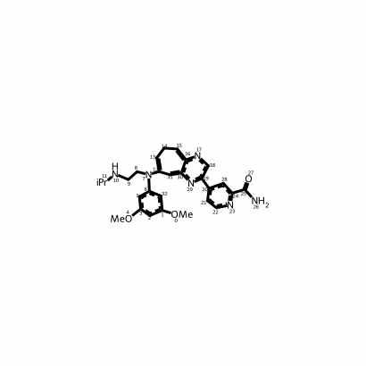 COc1cc(OC)cc(N(CCNC(C)C)C2=CCC=c3ncc(-c4ccnc(C(N)=O)c4)nc3=C2)c1